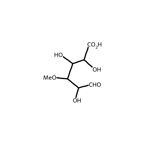 COC(C(O)C=O)C(O)C(O)C(=O)O